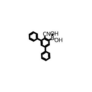 N#Cc1c(B(O)O)cc(-c2ccccc2)cc1-c1ccccc1